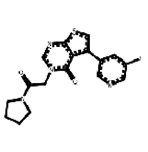 O=C(Cn1cnc2scc(-c3cncc(F)c3)c2c1=O)N1CCCC1